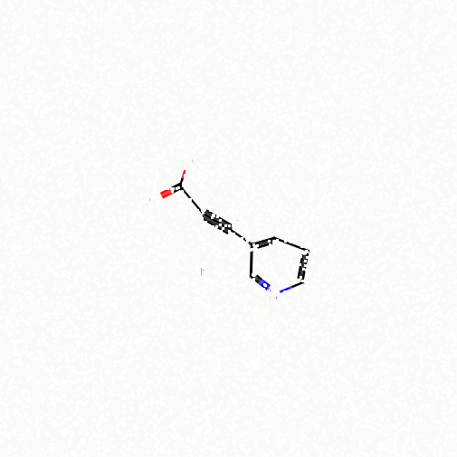 O=C([O-])C#Cc1cccnc1.[K+]